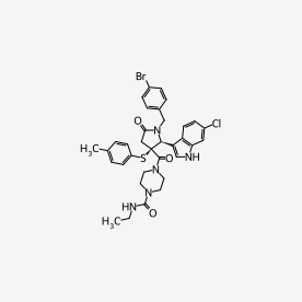 CCNC(=O)N1CCN(C(=O)[C@]2(Sc3ccc(C)cc3)CC(=O)N(Cc3ccc(Br)cc3)[C@H]2c2c[nH]c3cc(Cl)ccc23)CC1